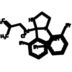 C=C(C)[CH2][Pd]([Cl])[C]1(c2c(C(C)C)cccc2C(C)C)NCCN1c1c(C(C)C)cccc1C(C)C